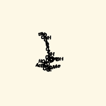 COC(=O)[C@H]1OC(Oc2ccc(CO)cc2C(=O)NCCOCCOCCONC(=O)OC(C)(C)C)[C@H](O)[C@@H](OC(C)=O)[C@@H]1OC(C)=O